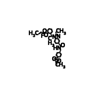 C/C=C/C1(F)Oc2cccc([C@@H](C)n3c(CC)nc4cc(C(=O)NCc5ccc(S(=O)(=O)CC)cc5)ccc43)c2O1